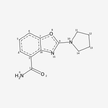 NC(=O)c1[c]ccc2oc(N3CCCC3)nc12